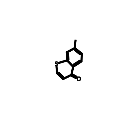 Cc1ccc2c(=O)ccsc2c1